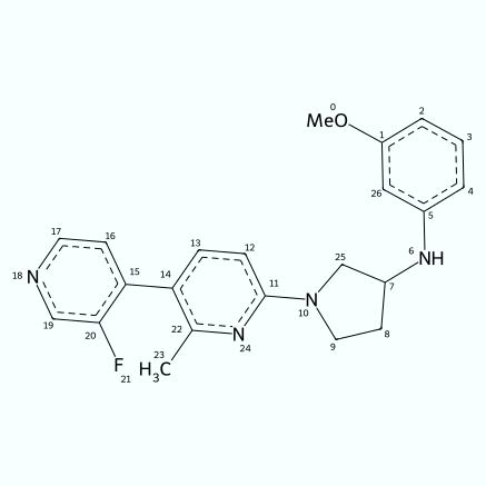 COc1cccc(NC2CCN(c3ccc(-c4ccncc4F)c(C)n3)C2)c1